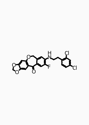 O=C1c2cc(F)c(NCCc3ccc(Cl)cc3Cl)cc2COc2cc3c(cc21)OCO3